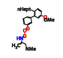 C=C(CNC)NOOOc1cccc(-c2cc(OOC)ccc2CCCCCCC)c1